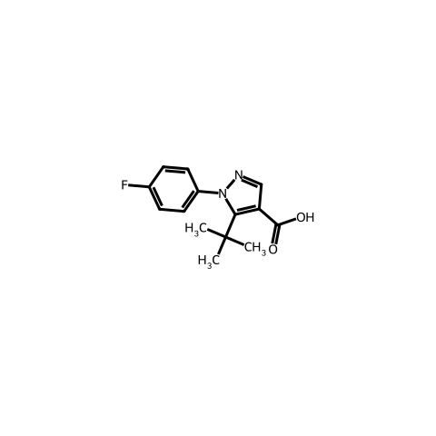 CC(C)(C)c1c(C(=O)O)cnn1-c1ccc(F)cc1